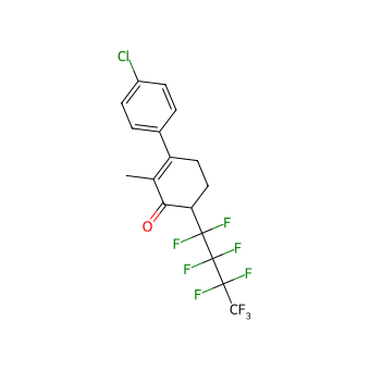 CC1=C(c2ccc(Cl)cc2)CCC(C(F)(F)C(F)(F)C(F)(F)C(F)(F)F)C1=O